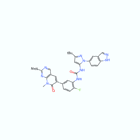 CNc1ncc2cc(-c3ccc(F)c(NC(=O)Nc4cc(C(C)(C)C)nn4-c4ccc5[nH]ncc5c4)c3)c(=O)n(C)c2n1